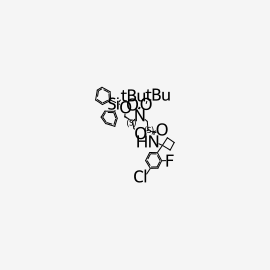 CC(C)(C)OC(=O)N1C[C@@H](C(=O)NC2(c3ccc(Cl)cc3F)CCC2)OC[C@H]1CO[Si](c1ccccc1)(c1ccccc1)C(C)(C)C